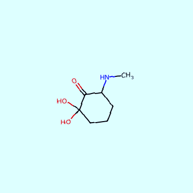 CNC1CCCC(O)(O)C1=O